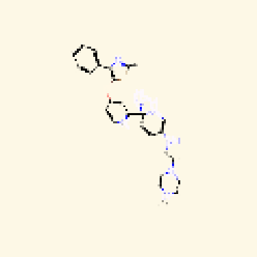 CCc1nc(-c2ccccc2)c(Oc2ccnc(C3(N)C=CC(NCCN4CCN(C)CC4)=CN3)c2)s1